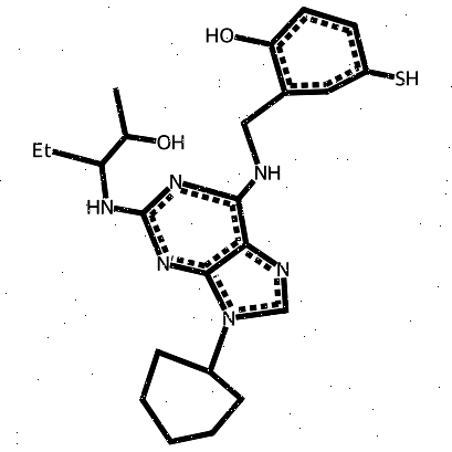 CCC(Nc1nc(NCc2cc(S)ccc2O)c2ncn(C3CCCCC3)c2n1)C(C)O